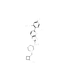 Cc1cc(Cl)cc(O)c1-c1ccc2oc(N[C@@H]3CCCN(CC4CCC4O)C3)nc2n1